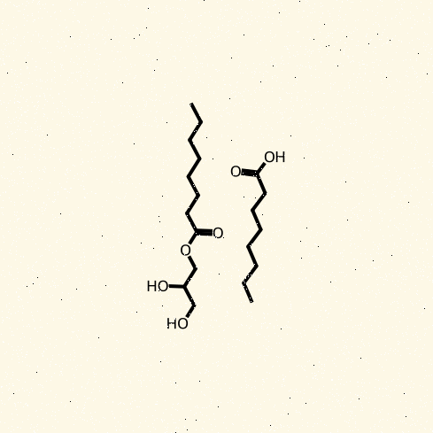 CCCCCCCC(=O)O.CCCCCCCC(=O)OCC(O)CO